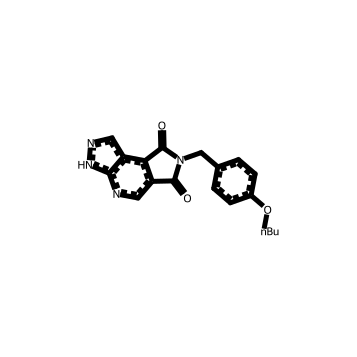 CCCCOc1ccc(CN2C(=O)c3cnc4[nH]ncc4c3C2=O)cc1